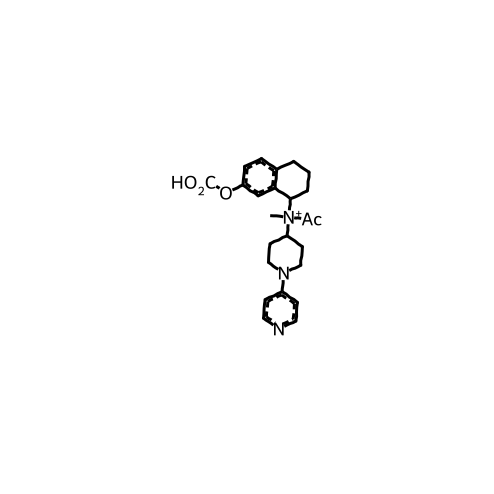 CC(=O)[N+](C)(C1CCN(c2ccncc2)CC1)C1CCCc2ccc(OC(=O)O)cc21